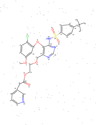 COc1ccc(Cl)c(Oc2c(COCCOC(=O)Cc3cccnc3)ncnc2NS(=O)(=O)c2ccc(C(C)(C)C)cc2)c1